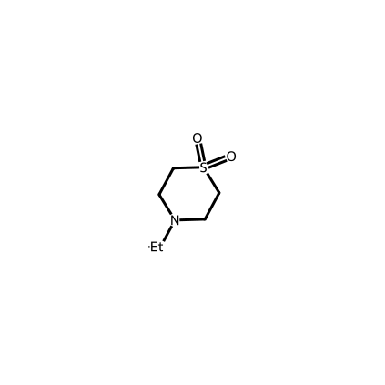 C[CH]N1CCS(=O)(=O)CC1